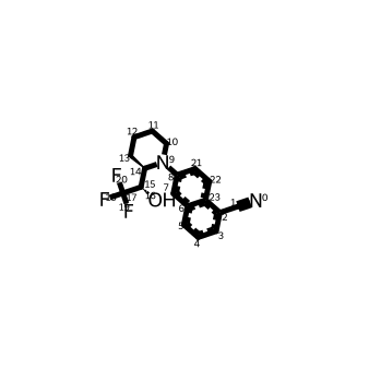 N#Cc1cccc2cc(N3CCCC[C@@H]3[C@H](O)C(F)(F)F)ccc12